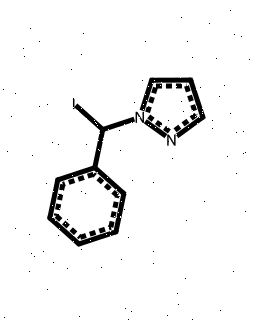 IC(c1ccccc1)n1cccn1